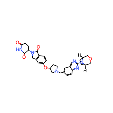 O=C1CCC(N2Cc3cc(O[C@H]4CCN(Cc5ccc6nc(N7[C@@H]8CC[C@H]7COC8)ncc6c5)C4)ccc3C2=O)C(=O)N1